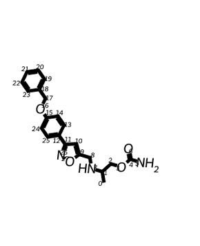 CC(COC(N)=O)NCc1cc(-c2ccc(OCc3ccccc3)cc2)no1